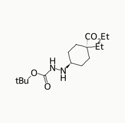 CCOC(=O)[C@]1(CC)CC[C@@H](NNC(=O)OC(C)(C)C)CC1